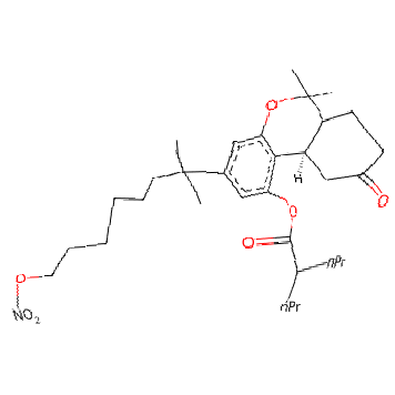 CCCC(CCC)C(=O)Oc1cc(C(C)(C)CCCCCCO[N+](=O)[O-])cc2c1[C@@H]1CC(=O)CCC1C(C)(C)O2